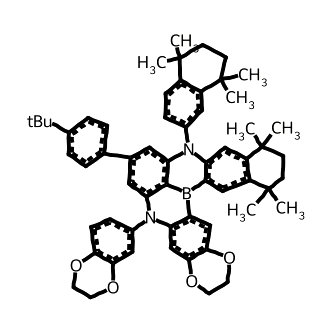 CC(C)(C)c1ccc(-c2cc3c4c(c2)N(c2ccc5c(c2)C(C)(C)CCC5(C)C)c2cc5c(cc2B4c2cc4c(cc2N3c2ccc3c(c2)OCCO3)OCCO4)C(C)(C)CCC5(C)C)cc1